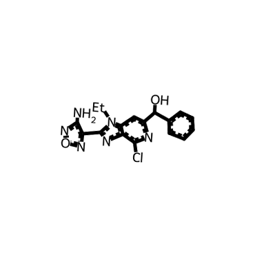 CCn1c(-c2nonc2N)nc2c(Cl)nc(C(O)c3ccccc3)cc21